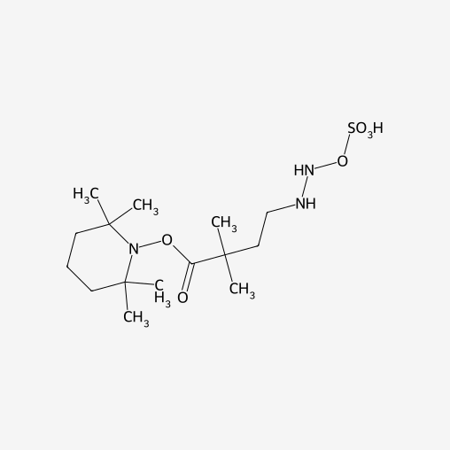 CC(C)(CCNNOS(=O)(=O)O)C(=O)ON1C(C)(C)CCCC1(C)C